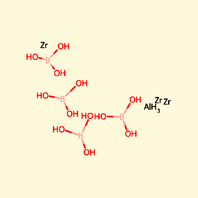 OB(O)O.OB(O)O.OB(O)O.OB(O)O.[AlH3].[Zr].[Zr].[Zr]